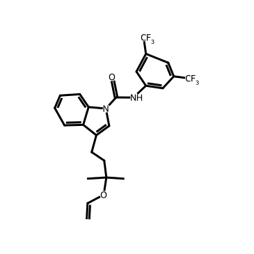 C=COC(C)(C)CCc1cn(C(=O)Nc2cc(C(F)(F)F)cc(C(F)(F)F)c2)c2ccccc12